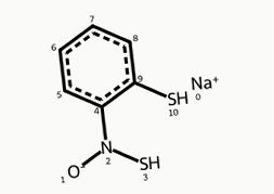 [Na+].[O-]N(S)c1ccccc1S